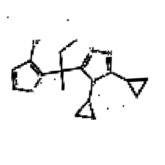 CCC(C)(c1sccc1Br)c1nnc(C2CC2)n1C1CC1